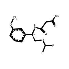 CC(C)(C)C(=O)CC(=O)N[C@@H](COC(F)F)c1cccc(OC(F)(F)F)c1